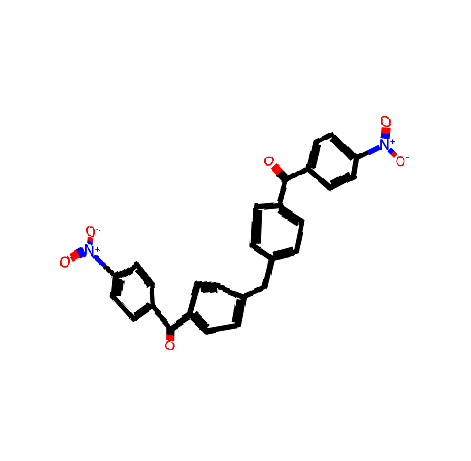 O=C(c1ccc(Cc2ccc(C(=O)c3ccc([N+](=O)[O-])cc3)cc2)cc1)c1ccc([N+](=O)[O-])cc1